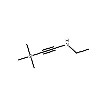 CCNC#C[Si](C)(C)C